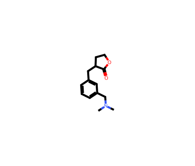 CN(C)Cc1cccc(CC2CCOC2=O)c1